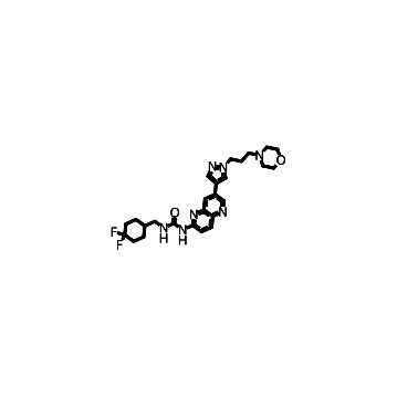 O=C(NCC1CCC(F)(F)CC1)Nc1ccc2ncc(-c3cnn(CCCN4CCOCC4)c3)cc2n1